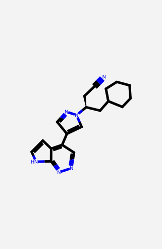 N#CC[C@@H](CC1CCCCC1)n1cc(-c2cnnc3[nH]ccc23)cn1